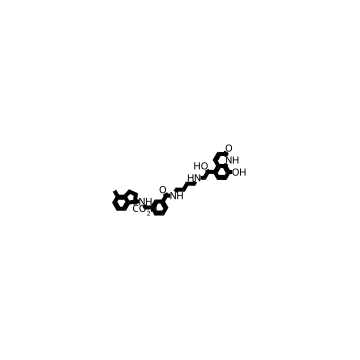 Cc1cccc2c1CCC2(NCc1cccc(C(=O)NCCCCNCC(O)c2ccc(O)c3[nH]c(=O)ccc23)c1)C(=O)O